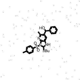 CCCCC1Nc2cc(C(O)c3ccccc3)c(C)nc2N1S(=O)(=O)c1ccc(C)cc1